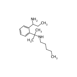 CCCCCNC(C)(C)c1ccccc1C(N)CC